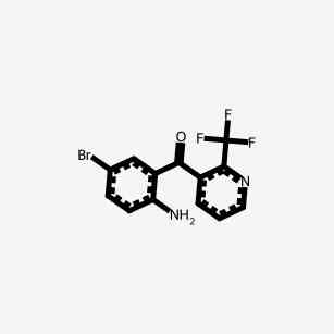 Nc1ccc(Br)cc1C(=O)c1cccnc1C(F)(F)F